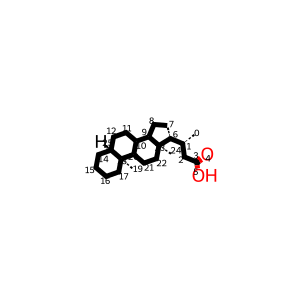 C[C@H](CC(=O)O)[C@H]1CCC2C3CC[C@@H]4CCCC[C@]4(C)C3CC[C@@]21C